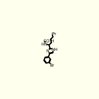 CC(C)CCCC(NC(=O)O)c1nc(-c2cccc(Br)c2)c[nH]1